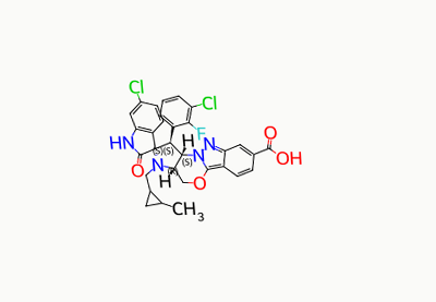 CC1CC1CN1[C@H]2COc3c4ccc(C(=O)O)cc4nn3[C@H]2[C@H](c2cccc(Cl)c2F)[C@]12C(=O)Nc1cc(Cl)ccc12